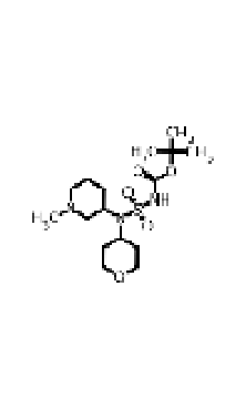 CN1CCCC(N(C2CCOCC2)S(=O)(=O)NC(=O)OC(C)(C)C)C1